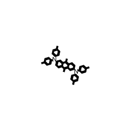 Cc1ccc(N(c2ccc(C)cc2)c2ccc3c(C)c4cc(N(c5ccc(C)cc5)c5ccc(C)cc5)ccc4c(C)c3c2)cc1